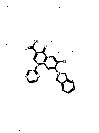 O=C(O)c1cn(-c2cnccn2)c2cc(N3Cc4ccccc4C3)c(Cl)cc2c1=O